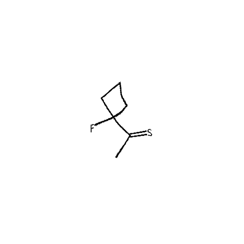 CC(=S)C1(F)CCC1